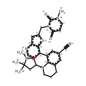 CN1CC(N2CCCc3cc(C#N)cc(-c4ccnc5cc(Cn6c(=O)ccn(C)c6=O)sc45)c32)CC1(C)C